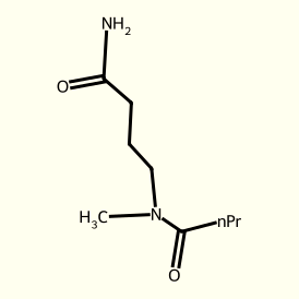 CCCC(=O)N(C)CCCC(N)=O